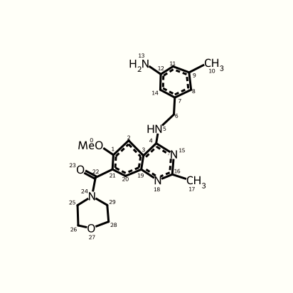 COc1cc2c(NCc3cc(C)cc(N)c3)nc(C)nc2cc1C(=O)N1CCOCC1